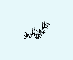 CCC(=O)N1CC[C@H](Nc2ncnc3c2nc(-c2cnn(CC)c2C)n3C)C1